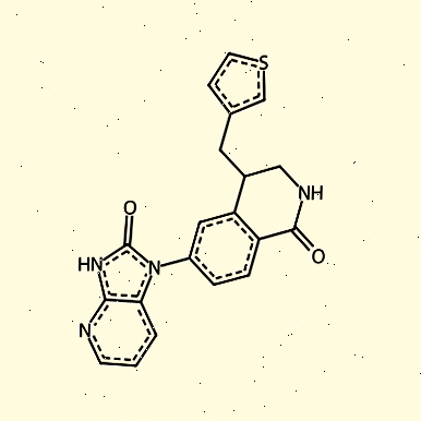 O=C1NCC(Cc2ccsc2)c2cc(-n3c(=O)[nH]c4ncccc43)ccc21